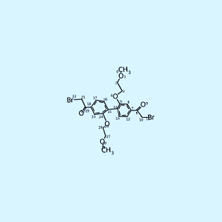 COCCOc1cc(C(=O)CBr)ccc1-c1ccc(C(=O)CBr)cc1OCCOC